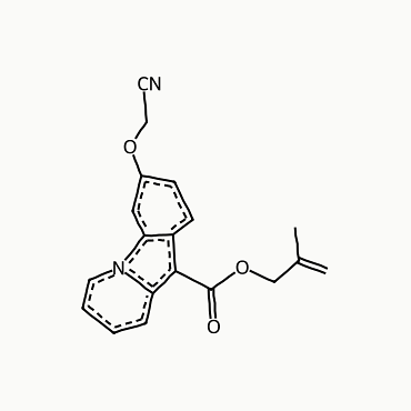 C=C(C)COC(=O)c1c2ccc(OCC#N)cc2n2ccccc12